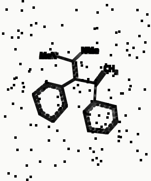 C=C(C(=C(NC)NC)c1ccccc1)c1ccccc1